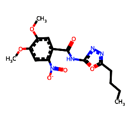 CCCCc1nnc(NC(=O)c2cc(OC)c(OC)cc2[N+](=O)[O-])o1